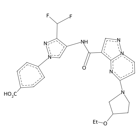 CCOC1CCN(c2ccn3ncc(C(=O)Nc4cn(-c5ccc(C(=O)O)cc5)nc4C(F)F)c3n2)C1